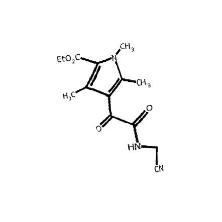 CCOC(=O)c1c(C)c(C(=O)C(=O)NCC#N)c(C)n1C